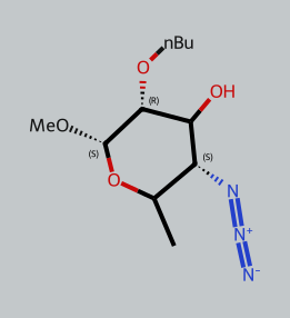 CCCCO[C@@H]1C(O)[C@H](N=[N+]=[N-])C(C)O[C@@H]1OC